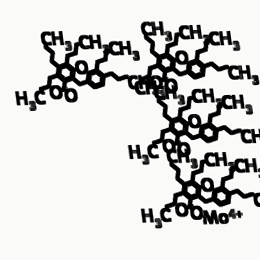 CCCCc1ccc2c(c1CCCC)Oc1c(CCCC)c(CCCC)c(CCCC)c(C(=O)[O-])c1C2.CCCCc1ccc2c(c1CCCC)Oc1c(CCCC)c(CCCC)c(CCCC)c(C(=O)[O-])c1C2.CCCCc1ccc2c(c1CCCC)Oc1c(CCCC)c(CCCC)c(CCCC)c(C(=O)[O-])c1C2.CCCCc1ccc2c(c1CCCC)Oc1c(CCCC)c(CCCC)c(CCCC)c(C(=O)[O-])c1C2.[Mo+4]